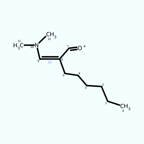 CCCCCC/C(C=O)=C/N(C)C